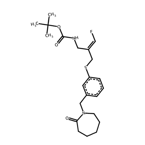 CC(C)(C)OC(=O)NC/C(=C\F)CSc1cccc(CN2CCCCCC2=O)c1